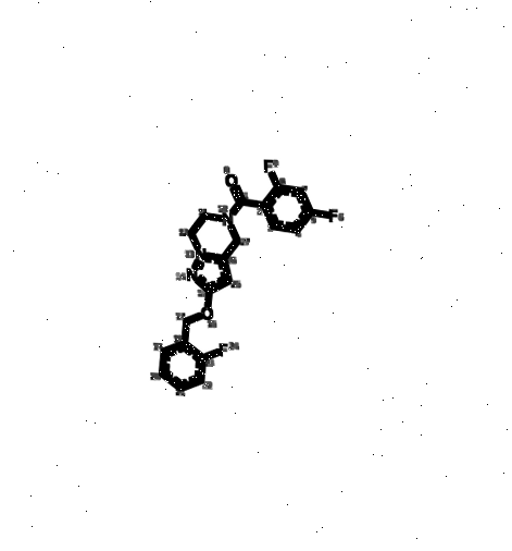 O=C(c1ccc(F)cc1F)N1CCn2nc(OCc3ccccc3F)cc2C1